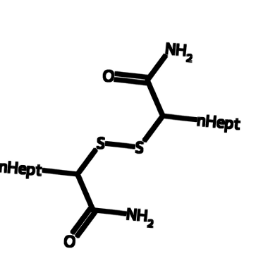 CCCCCCCC(SSC(CCCCCCC)C(N)=O)C(N)=O